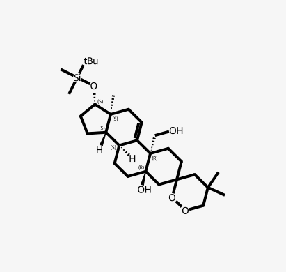 CC1(C)COOC2(CC[C@]3(CO)C4=CC[C@]5(C)[C@@H](O[Si](C)(C)C(C)(C)C)CC[C@H]5[C@@H]4CC[C@@]3(O)C2)C1